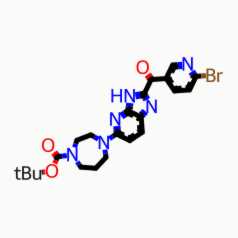 CC(C)(C)OC(=O)N1CCCN(c2ccc3nc(C(=O)c4ccc(Br)nc4)[nH]c3n2)CC1